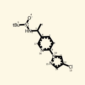 CC(N[S+]([O-])C(C)(C)C)c1ccc(-n2cc(Cl)cn2)nc1